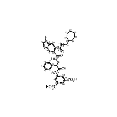 O=C(O)c1cc(NC(=O)C(CNC(=O)c2cc3nc[nH]c3cc2C(=O)NCC2CCCCCC2)c2ccccc2)cc(C(=O)O)c1